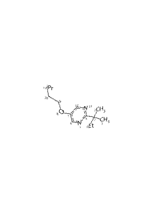 CCC(C)(C)c1ncc(OCCC(C)C)cn1